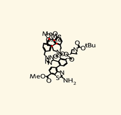 COC(=O)c1ccc(-c2ccc(S(=O)(=O)C3CN(C(=O)OC(C)(C)C)C3)c(S(=O)(=O)N(Cc3ccc(OC)cc3)Cc3ccc(OC)cc3)c2-c2nnn(Cc3ccc(OC)cc3)n2)c2nc(N)sc12